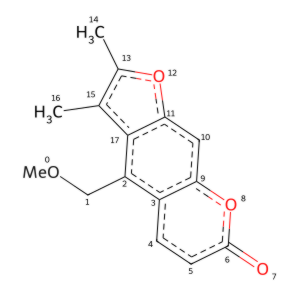 COCc1c2ccc(=O)oc2cc2oc(C)c(C)c12